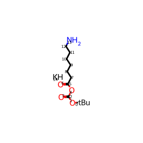 CC(C)(C)OC(=O)OC(=O)CCCCCCN.[KH]